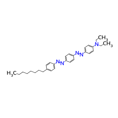 CCCCCCCCc1ccc(N=Nc2ccc(N=Nc3ccc(N(CC)CC)cc3)cc2)cc1